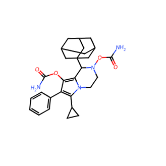 NC(=O)Oc1c(-c2ccccc2)c(C2CC2)n2c1C(C13CC4CC(CC(C4)C1)C3)N(OC(N)=O)CC2